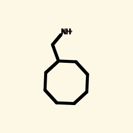 [NH]CC1CCCCCCC1